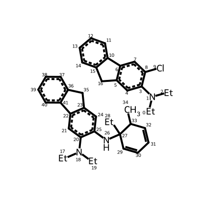 CCN(CC)c1cc2c(cc1Cl)-c1ccccc1C2.CCN(CC)c1cc2c(cc1NC1(CC)C=CC=CC1C)Cc1ccccc1-2